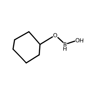 OBOC1CCCCC1